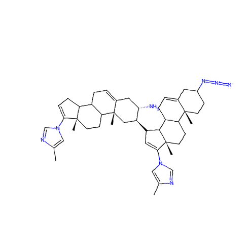 Cc1cn(C2=CCC3C4CC=C5C[C@H](N)[C@@H](C6C=C(n7cnc(C)c7)[C@@]7(C)CCC8C(CC=C9CC(N=[N+]=[N-])CC[C@@]98C)C67)C[C@]5(C)C4CC[C@]23C)cn1